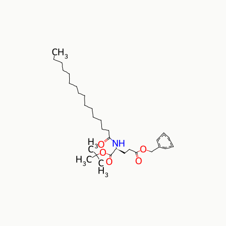 CCCCCCCCCCCCCCCC(=O)N[C@@H](CCC(=O)OCc1ccccc1)C(=O)OC(C)(C)C